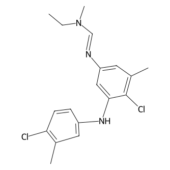 CCN(C)C=Nc1cc(C)c(Cl)c(Nc2ccc(Cl)c(C)c2)c1